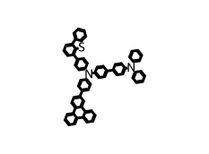 c1ccc(N(c2ccccc2)c2ccc(-c3ccc(N(c4ccc(-c5ccc6c7ccccc7c7ccccc7c6c5)cc4)c4ccc(-c5cccc6c5sc5ccccc56)cc4)cc3)cc2)cc1